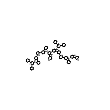 c1ccc(-c2cc(-n3c4ccccc4c4cc(-c5cccc(-c6ccc7c(c6)c6ccccc6n7-c6cc(-c7ccc8c(c7)c7cc(-c9cccc(-c%10ccc%11c(c%10)c%10ccccc%10n%11-c%10ccc%11sc%12ccncc%12c%11c%10)n9)ccc7n8-c7cc(-c8ccccc8)nc(-c8ccccc8)c7)c7oc8ccncc8c7c6)n5)ccc43)cc(-c3ccccc3)n2)cc1